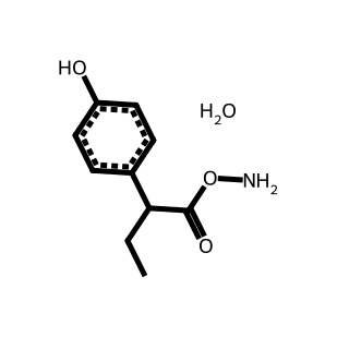 CCC(C(=O)ON)c1ccc(O)cc1.O